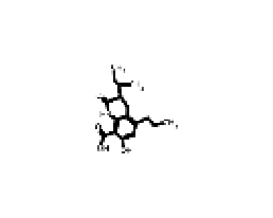 CCCc1cc(O)c(C(=O)O)c2c1CC(C(C)CC)C(=O)N2